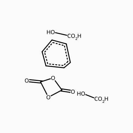 O=C(O)O.O=C(O)O.O=C1OC(=O)O1.c1ccccc1